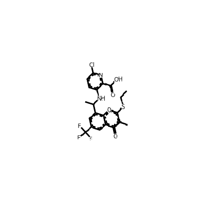 CCSc1oc2c(C(C)Nc3ccc(Cl)nc3C(=O)O)cc(C(F)(F)F)cc2c(=O)c1C